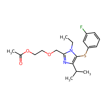 CCn1c(COCCOC(C)=O)nc(C(C)C)c1Sc1cccc(F)c1